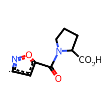 O=C(O)C1CCCN1C(=O)c1c[c]no1